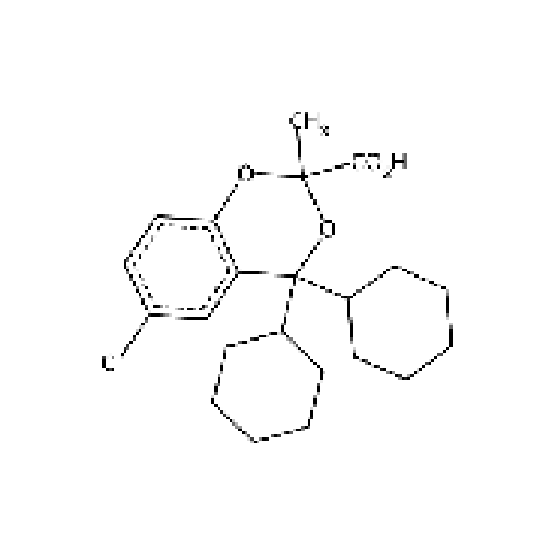 CC1(C(=O)O)Oc2ccc(Cl)cc2C(C2CCCCC2)(C2CCCCC2)O1